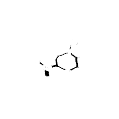 CN1C[CH]NC([N+](=O)[O-])C1